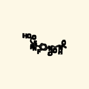 CC(=O)NCC1CN(c2ccc(-c3nnc(CC(=O)O)s3)c(F)c2)C(=O)O1